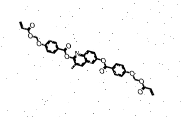 C=CC(=O)OCOc1ccc(C(=O)Oc2ccc3nc(OC(=O)c4ccc(OCOC(=O)C=C)cc4)c(C)cc3c2)cc1